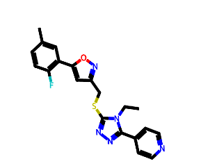 CCn1c(SCc2cc(-c3cc(C)ccc3F)on2)nnc1-c1ccncc1